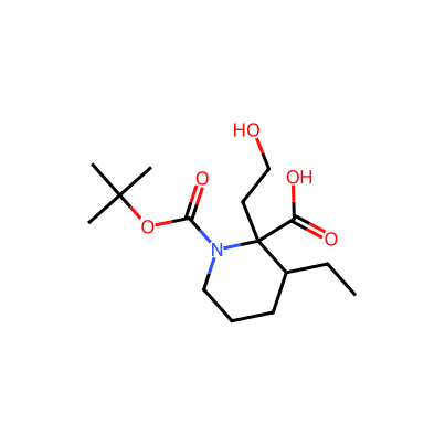 CCC1CCCN(C(=O)OC(C)(C)C)C1(CCO)C(=O)O